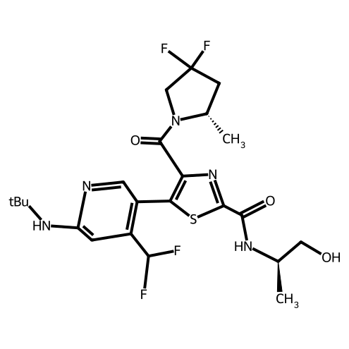 C[C@H](CO)NC(=O)c1nc(C(=O)N2CC(F)(F)C[C@@H]2C)c(-c2cnc(NC(C)(C)C)cc2C(F)F)s1